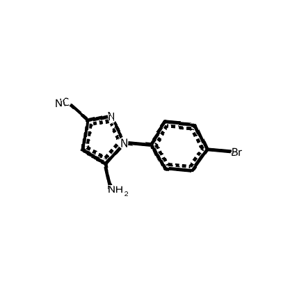 N#Cc1cc(N)n(-c2ccc(Br)cc2)n1